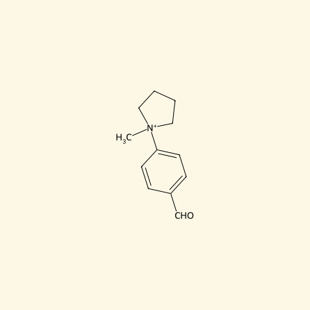 C[N+]1(c2ccc(C=O)cc2)CCCC1